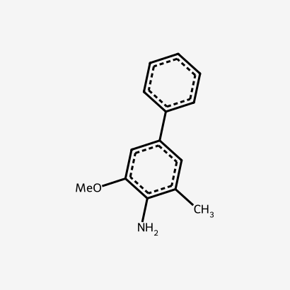 COc1cc(-c2ccccc2)cc(C)c1N